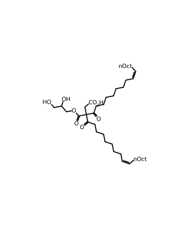 CCCCCCCC/C=C\CCCCCCCC(=O)C(CC(=O)O)(C(=O)CCCCCCC/C=C\CCCCCCCC)C(=O)OCC(O)CO